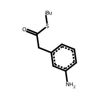 CCC(C)SC(=O)Cc1cccc(N)c1